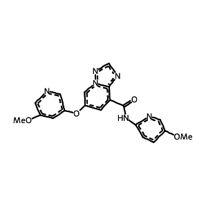 COc1ccc(NC(=O)c2cc(Oc3cncc(OC)c3)cn3ncnc23)nc1